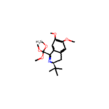 COc1cc2c(cc1OC)C(C(OC)(OC)O[SiH3])=N[C@H](C(C)(C)C)C2